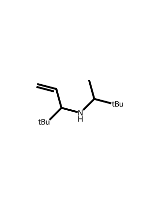 C=CC(NC(C)C(C)(C)C)C(C)(C)C